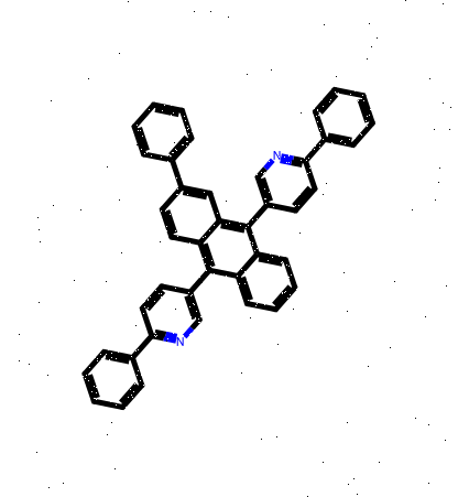 c1ccc(-c2ccc3c(-c4ccc(-c5ccccc5)nc4)c4ccccc4c(-c4ccc(-c5ccccc5)nc4)c3c2)cc1